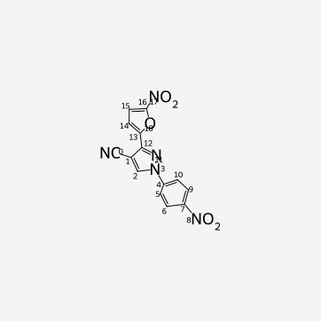 N#Cc1cn(-c2ccc([N+](=O)[O-])cc2)nc1-c1ccc([N+](=O)[O-])o1